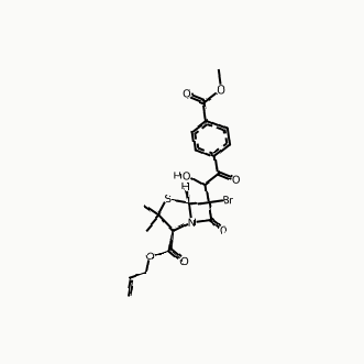 C=CCOC(=O)[C@@H]1N2C(=O)C(Br)(C(O)C(=O)c3ccc(C(=O)OC)cc3)[C@H]2SC1(C)C